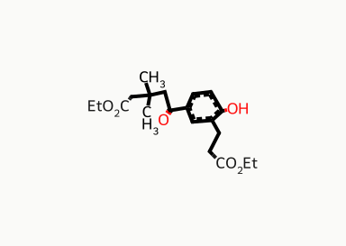 CCOC(=O)CCc1cc(C(=O)CC(C)(C)CC(=O)OCC)ccc1O